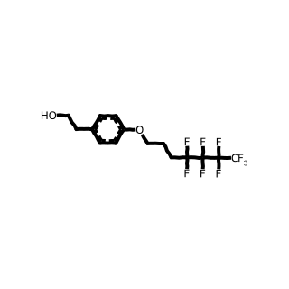 OCCc1ccc(OCCCC(F)(F)C(F)(F)C(F)(F)C(F)(F)F)cc1